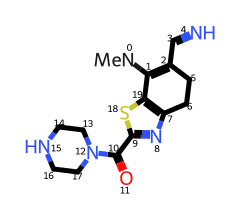 CNC1=C(C=N)CCc2nc(C(=O)N3CCNCC3)sc21